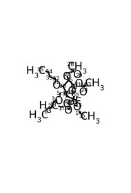 CCCCOC[C@@]1(CC(F)(F)P(=O)(OCC)OCC)O[C@@H](OC(C)=O)C(OC(C)=O)C1OCCCC